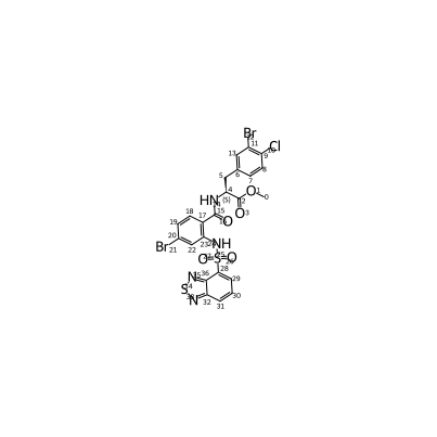 COC(=O)[C@H](Cc1ccc(Cl)c(Br)c1)NC(=O)c1ccc(Br)cc1NS(=O)(=O)c1cccc2nsnc12